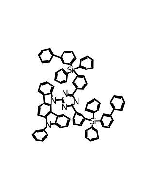 c1ccc(-c2cccc([Si](c3ccccc3)(c3ccccc3)c3cccc(-c4nc(-c5cccc([Si](c6ccccc6)(c6ccccc6)c6cccc(-c7ccccc7)c6)c5)nc(-n5c6ccccc6c6ccc7c(c8ccccc8n7-c7ccccc7)c65)n4)c3)c2)cc1